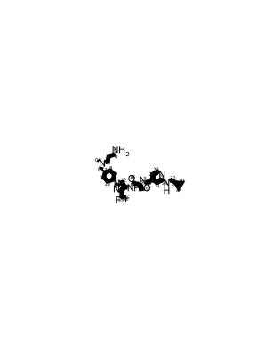 CN(CCCN)C[C@H]1CC[C@H](n2cc(NC(=O)c3coc(-c4ccnc(NCC5CC5)c4)n3)c(C(F)F)n2)CC1